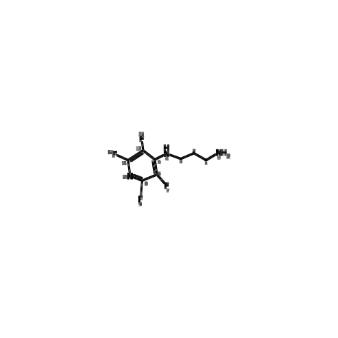 NCCCNc1c(F)c(F)nc(F)c1F